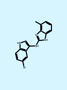 Cc1cccc2[nH]c(Nc3c[nH]c4ccc(Br)cc34)nc12